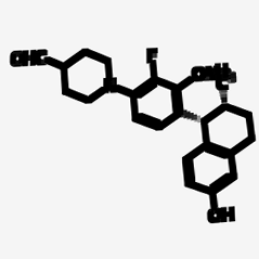 COc1c([C@H]2c3ccc(O)cc3CC[C@H]2C)ccc(N2CCC(C=O)CC2)c1F